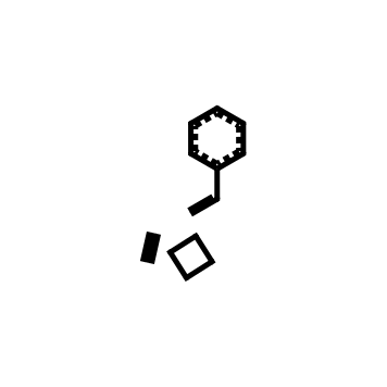 C#C.C1CCC1.C=Cc1ccccc1